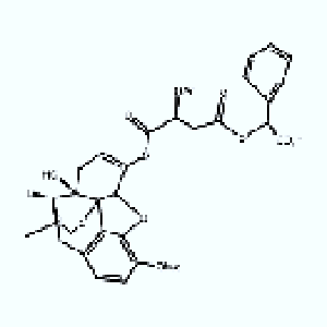 COc1ccc2c3c1OC1C(OC(=O)[C@H](CC(=O)O[C@H](C(=O)O)c4ccccc4)OC(C)=O)=CC[C@@]4(O)[C@@H](C2)N(C)CCC314